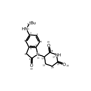 CC(C)(C)Nc1ccc2c(c1)CC(=O)N2C1CCC(=O)NC1=O